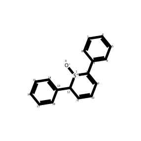 [O-][S+]1C(c2ccccc2)=CC=CC1c1ccccc1